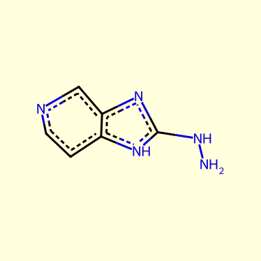 NNc1nc2cnccc2[nH]1